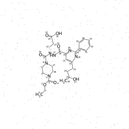 CCOC(=O)N1CCN(C(=O)[C@H](CCC(=O)O)NC(=O)c2cc(CCC(C)O)nc(-c3ccccc3)n2)CC1